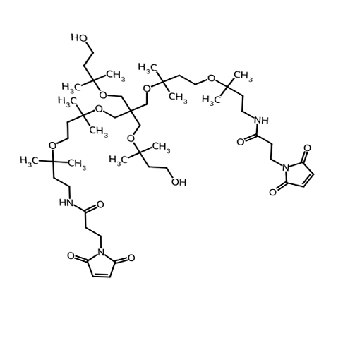 CC(C)(CCNC(=O)CCN1C(=O)C=CC1=O)OCCC(C)(C)OCC(COC(C)(C)CCO)(COC(C)(C)CCO)COC(C)(C)CCOC(C)(C)CCNC(=O)CCN1C(=O)C=CC1=O